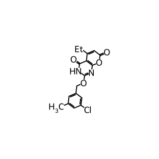 CCc1cc(=O)oc2nc(OCc3cc(C)cc(Cl)c3)[nH]c(=O)c12